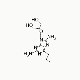 CCCc1nc(N)nc2c1nc(N)n2COC(CO)CO